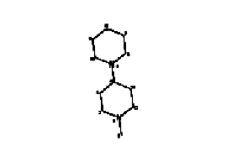 CN1CCC(N2CC[CH]CC2)CC1